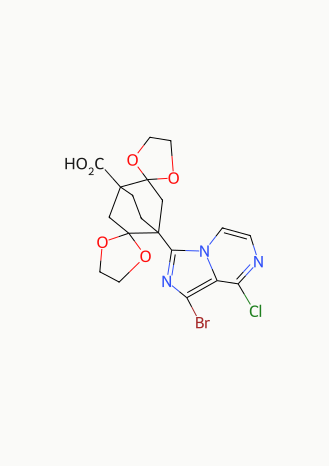 O=C(O)C12CCC(c3nc(Br)c4c(Cl)nccn34)(CC13OCCO3)C1(C2)OCCO1